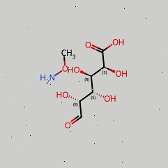 CON.O=C[C@H](O)[C@@H](O)[C@@H](O)[C@H](O)C(=O)O